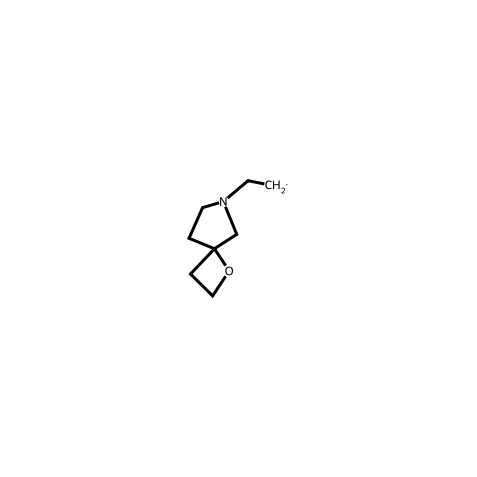 [CH2]CN1CCC2(CCO2)C1